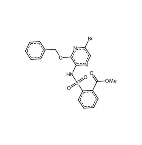 COC(=O)c1ccccc1S(=O)(=O)Nc1ncc(Br)nc1OCc1ccccc1